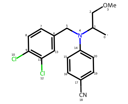 [CH2]C(COC)N(Cc1ccc(Cl)c(Cl)c1)c1ccc(C#N)cc1